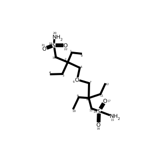 CCC(CC)(COCC(CC)(CC)CS(N)(=O)=O)CS(N)(=O)=O